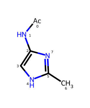 CC(=O)Nc1c[nH]c(C)n1